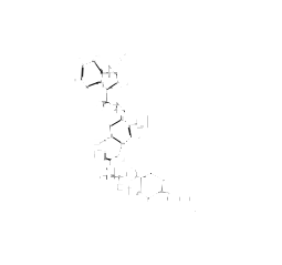 CCC(OC1CCC(C(=O)O)CC1)N(C)C(=O)Cc1cc(Cl)c(NC(=O)c2cn(C)c3ccccc23)cc1F